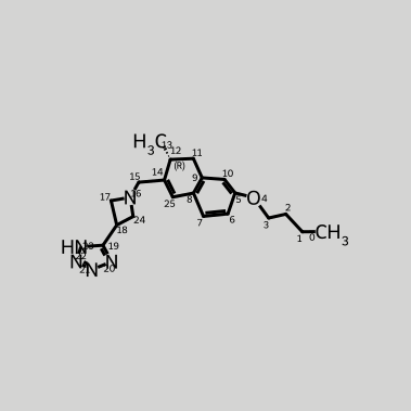 CCCCOc1ccc2c(c1)C[C@@H](C)C(CN1CC(c3nnn[nH]3)C1)=C2